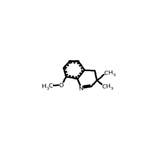 COc1cccc2c1N=CC(C)(C)C2